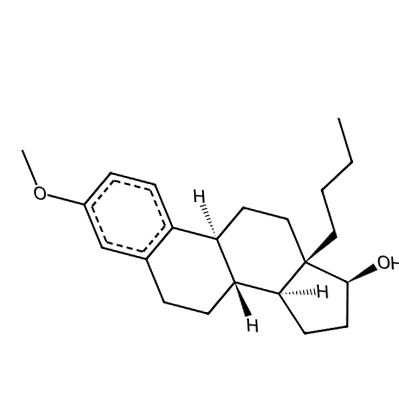 CCCC[C@]12CC[C@@H]3c4ccc(OC)cc4CC[C@H]3[C@@H]1CC[C@@H]2O